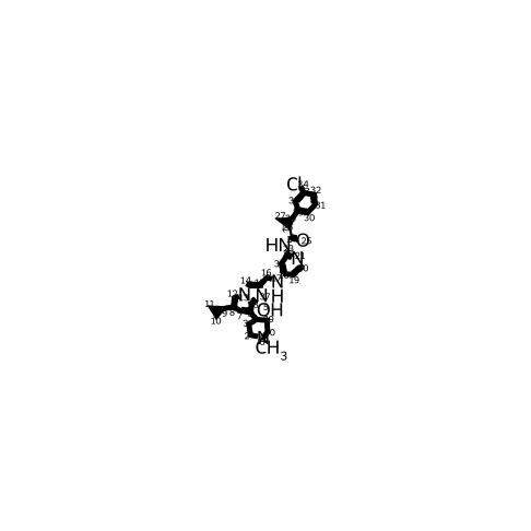 CN1CCC(O)(c2cc(C3CC3)cn3cc(CNc4ccnc(NC(=O)[C@H]5CC5c5cccc(Cl)c5)c4)nc23)CC1